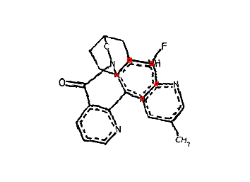 Cc1ccc(NC2CC3CCC2N(C(=O)c2cccnc2-c2ncc(F)cn2)C3)nc1